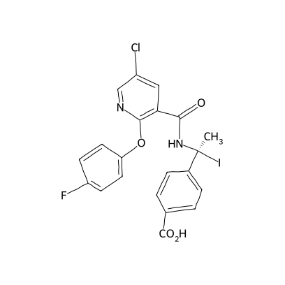 C[C@@](I)(NC(=O)c1cc(Cl)cnc1Oc1ccc(F)cc1)c1ccc(C(=O)O)cc1